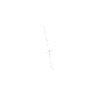 CCCCCCCCCCCCCCCC(=O)NCCCCCCC[C]=O